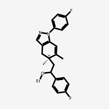 CCOC(C[C@@]1(C)Cc2cnn(-c3ccc(F)cc3)c2C=C1C)c1ccc(F)cc1